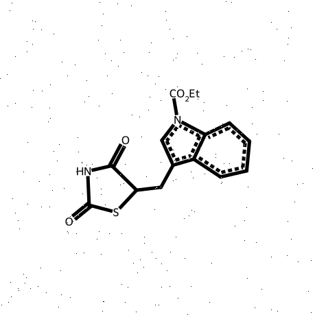 CCOC(=O)n1cc(CC2SC(=O)NC2=O)c2ccccc21